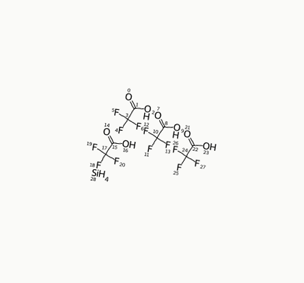 O=C(O)C(F)(F)F.O=C(O)C(F)(F)F.O=C(O)C(F)(F)F.O=C(O)C(F)(F)F.[SiH4]